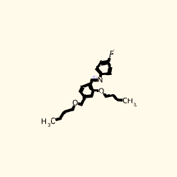 CCCCOCc1ccc(/C=N/c2ccc(F)cc2)c(OCCCC)c1